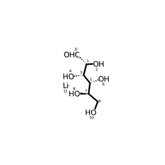 O=C[C@H](O)[C@@H](O)[C@H](O)[C@H](O)CO.[Li]